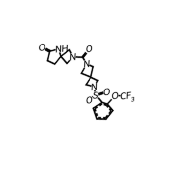 O=C1CCC2(CN(C(=O)N3CC4(C3)CN(S(=O)(=O)c3ccccc3OC(F)(F)F)C4)C2)N1